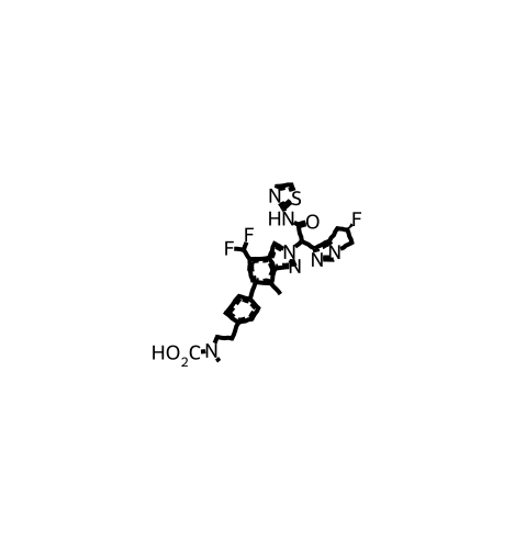 Cc1c(-c2ccc(CCN(C)C(=O)O)cc2)cc(C(F)F)c2cn(C(C(=O)Nc3nccs3)c3ncn4c3C[C@@H](F)C4)nc12